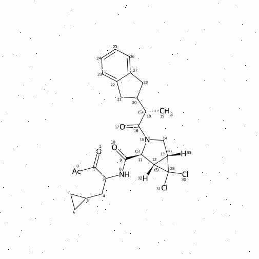 CC(=O)C(=O)C(CC1CC1)NC(=O)[C@@H]1[C@@H]2[C@H](CN1C(=O)[C@@H](C)C1Cc3ccccc3C1)C2(Cl)Cl